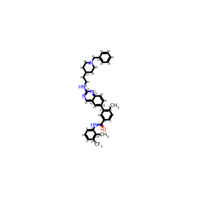 Cc1ccc(C(=O)Nc2cccc(C(F)(F)F)c2C)cc1-c1ccc2nc(NCCC3CCN(Cc4ccccc4)CC3)ncc2c1